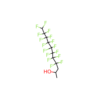 CC(O)CC(F)(F)C(F)(F)C(F)(F)C(F)(F)C(F)(F)C(F)(F)C(F)(F)C(F)F